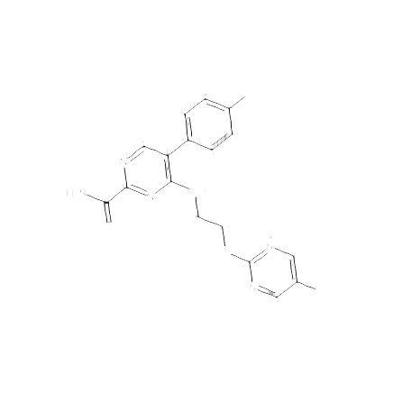 Cc1ccc(-c2[c]nc(C(N)=O)nc2OCCOc2ncc(Cl)cn2)cc1